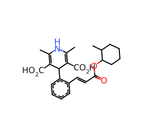 CC1=C(C(=O)O)C(c2ccccc2C=CC(=O)OC2CCCCC2C)C(C(=O)O)=C(C)N1